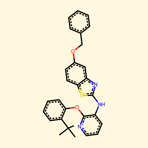 CC(C)(C)c1ccccc1Oc1ncccc1Nc1nc2cc(OCc3ccccc3)ccc2s1